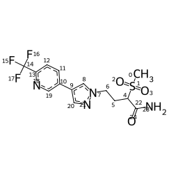 CS(=O)(=O)C(CCn1cc(-c2ccc(C(F)(F)F)nc2)cn1)C(N)=O